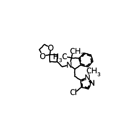 Cn1ncc(Cl)c1CC1c2ccccc2C(C)(C)N1CC1CC2(C1)OCCO2